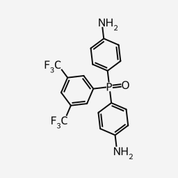 Nc1ccc(P(=O)(c2ccc(N)cc2)c2cc(C(F)(F)F)cc(C(F)(F)F)c2)cc1